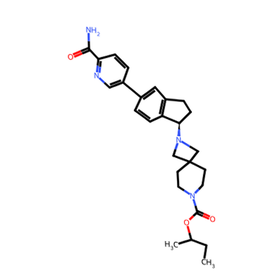 CCC(C)OC(=O)N1CCC2(CC1)CN([C@@H]1CCc3cc(-c4ccc(C(N)=O)nc4)ccc31)C2